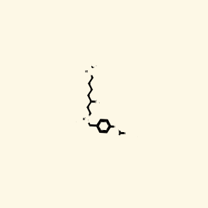 CC(C)Oc1ccc(CN(C)CCC(N)CCCCB(O)O)cc1